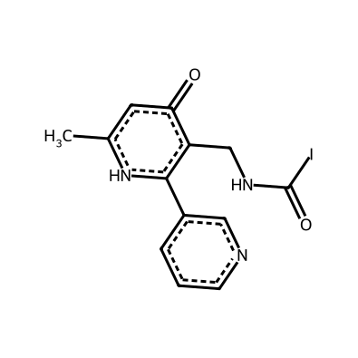 Cc1cc(=O)c(CNC(=O)I)c(-c2cccnc2)[nH]1